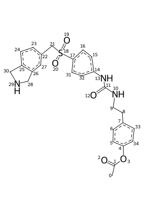 CC(=O)Oc1ccc(CCNC(=O)Nc2ccc(S(=O)(=O)Cc3ccc4c(c3)CNC4)cc2)cc1